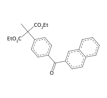 CCOC(=O)C(C)(C(=O)OCC)c1ccc(C(=O)c2ccc3ccccc3c2)cc1